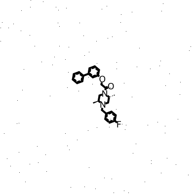 C[C@@H]1CN(Cc2ccc(F)cc2)[C@@H](C)CN1C(=O)COc1cccc(-c2ccccc2)c1